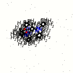 Bc1c(B)c(B)c(-c2nc(-c3ccc(-n4c5c(B)c(B)c(B)c(B)c5c5c(B)c(B)c(B)c(B)c54)c(-c4nc(-c5c(B)c(B)c(B)c(B)c5B)nc(-c5c(B)c(B)c(B)c(B)c5B)n4)c3)nc(-c3c(B)c(B)c(B)c(B)c3B)n2)c(B)c1B